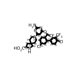 Nc1nc(OC(c2ccc(Cl)cc2-c2ccc(Cl)c(C(F)(F)F)c2)C(F)(F)F)cc(N2CCC3(CC2)CN[C@H](C(=O)O)C3)n1